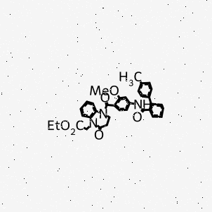 CCOC(=O)CN1C(=O)CCN(C(=O)c2ccc(NC(=O)c3ccccc3-c3ccc(C)cc3)cc2OC)c2ccccc21